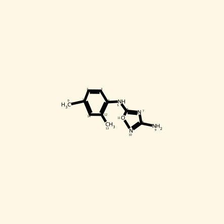 Cc1ccc(Nc2nc(N)no2)c(C)c1